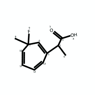 CC(C(=O)O)C1=CC(C)(F)C=CC=C1